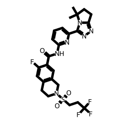 CC1(C)CCc2nnc(-c3cccc(NC(=O)c4cc5c(cc4F)CCN(S(=O)(=O)CCC(F)(F)F)C5)n3)n21